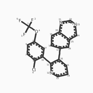 FC(F)(F)Oc1ccc(Cl)c(-c2ncccc2-c2ccc3ncncc3c2)c1